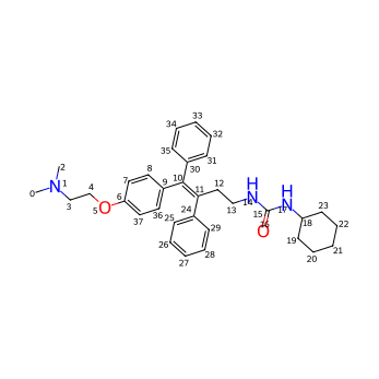 CN(C)CCOc1ccc(/C(=C(/CCNC(=O)NC2CCCCC2)c2ccccc2)c2ccccc2)cc1